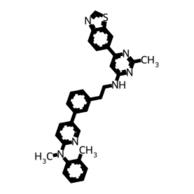 Cc1nc(NCCc2cccc(-c3ccc(N(C)c4ccccc4C)nc3)c2)cc(-c2ccc3ncsc3c2)n1